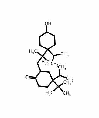 CC(C)C1(C(C)(C)C)CCC(=O)C(CC(C)(C)C2(C(C)C)CCC(O)CC2)C1